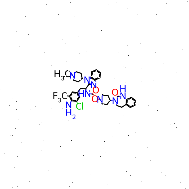 CN1CCC(n2c(C(Cc3cc(Cl)c(N)c(C(F)(F)F)c3)NC(=O)ON3CCC(N4CCc5ccccc5NC4=O)CC3)nc3ccccc32)CC1